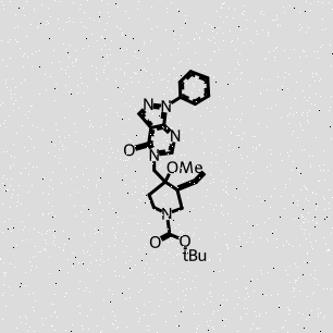 C=C=C1CN(C(=O)OC(C)(C)C)CCC1(Cn1cnc2c(cnn2-c2ccccc2)c1=O)OC